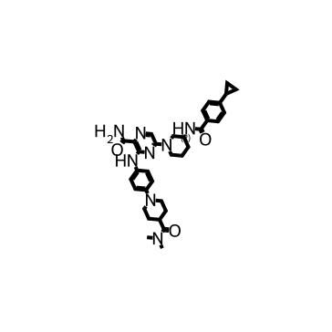 CN(C)C(=O)C1CCN(c2ccc(Nc3nc(N4CCC[C@@H](NC(=O)c5ccc(C6CC6)cc5)C4)cnc3C(N)=O)cc2)CC1